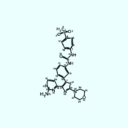 CS(=O)(=O)c1ccc(NC(=O)Nc2cccc(-c3sc(N4CCOCC4)nc3-c3ccnc(N)n3)c2)cc1